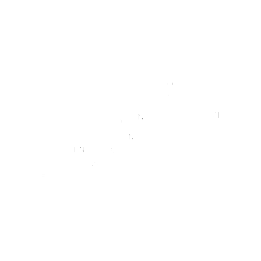 O=C(Nc1ccc(F)cc1)c1cc2sc(N3CCC(C(=O)c4ccc(Cl)cc4)CC3)nc2s1